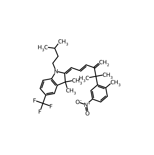 C=C(/C=C/C=C1/N(CCC(C)C)c2ccc(C(F)(F)F)cc2C1(C)C)C(C)(C)c1cc([N+](=O)[O-])ccc1C